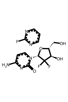 Fc1ncccn1.Nc1ccn([C@@H]2O[C@H](CO)[C@@H](O)C2(F)F)c(=O)n1